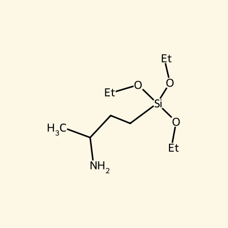 CCO[Si](CCC(C)N)(OCC)OCC